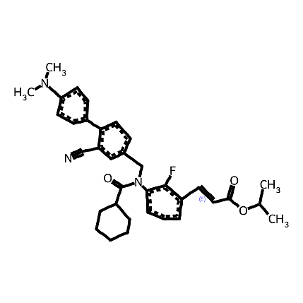 CC(C)OC(=O)/C=C/c1cccc(N(Cc2ccc(-c3ccc(N(C)C)cc3)c(C#N)c2)C(=O)C2CCCCC2)c1F